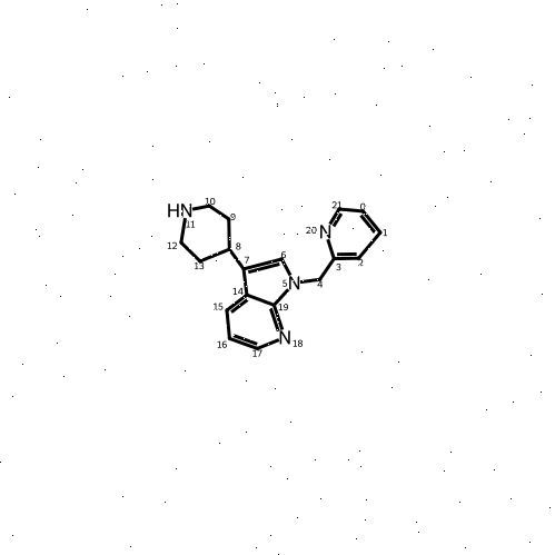 c1ccc(Cn2cc(C3CCNCC3)c3cccnc32)nc1